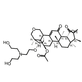 CC(=O)O[C@@H]1C[C@@]23COC[C@@](C)([C@@H]2CC[C@H]2C3=CC(=O)[C@@]3(C)[C@H](C(=O)O)[C@@](C)([C@H](C)C(C)C)CC[C@]23C)[C@H]1OCCN(CCO)CCO